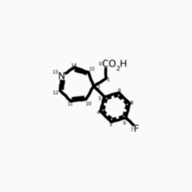 O=C(O)CC1(c2ccc(F)cc2)C=CC=NC=C1